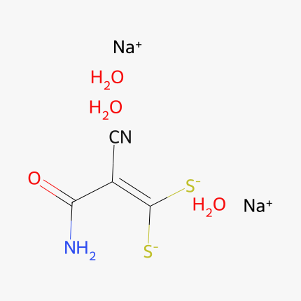 N#CC(C(N)=O)=C([S-])[S-].O.O.O.[Na+].[Na+]